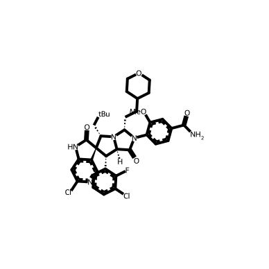 COc1cc(C(N)=O)ccc1N1C(=O)[C@H]2[C@H](c3cccc(Cl)c3F)[C@]3(C(=O)Nc4cc(Cl)ncc43)[C@H](CC(C)(C)C)N2[C@@H]1CCC1CCOCC1